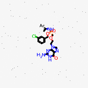 CC(=O)[C@H](C)NP(=O)(COCCn1cnc2c(=O)[nH]c(N)nc21)OCc1cccc(Cl)c1